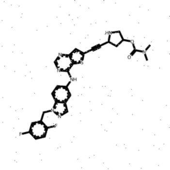 CN(C)C(=O)OC1CNC(C#Cc2cc3ncnc(Nc4ccc5c(cnn5Cc5cc(F)ccc5F)c4)c3s2)C1